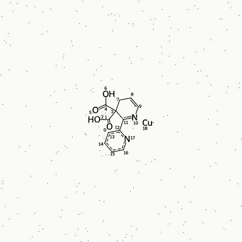 O=C(O)C1(C(=O)O)CC=CN=C1c1ccccn1.[Cu]